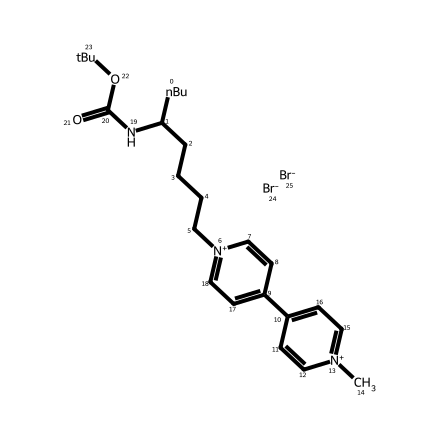 CCCCC(CCCC[n+]1ccc(-c2cc[n+](C)cc2)cc1)NC(=O)OC(C)(C)C.[Br-].[Br-]